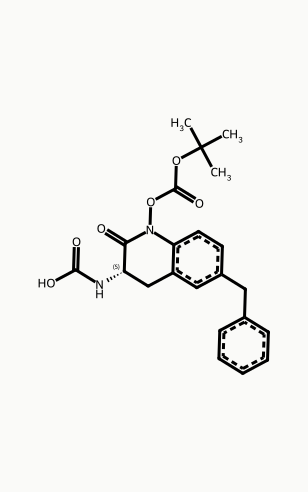 CC(C)(C)OC(=O)ON1C(=O)[C@@H](NC(=O)O)Cc2cc(Cc3ccccc3)ccc21